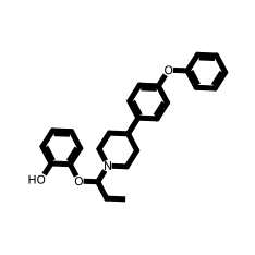 CCC(Oc1ccccc1O)N1CCC(c2ccc(Oc3ccccc3)cc2)CC1